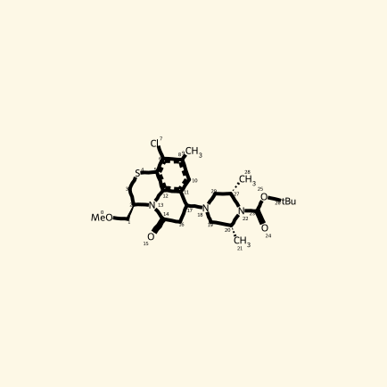 COC[C@H]1CSc2c(Cl)c(C)cc3c2N1C(=O)CC3N1C[C@@H](C)N(C(=O)OC(C)(C)C)[C@@H](C)C1